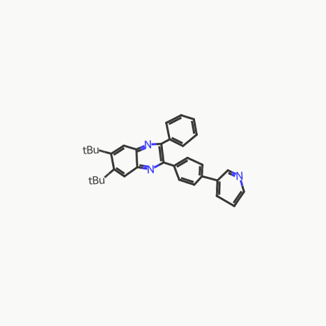 CC(C)(C)c1cc2nc(-c3ccccc3)c(-c3ccc(-c4cccnc4)cc3)nc2cc1C(C)(C)C